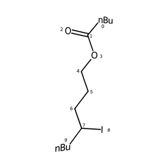 CCCCC(=O)OCCCC(I)CCCC